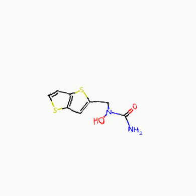 NC(=O)N(O)Cc1cc2sccc2s1